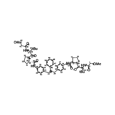 COCC(=O)N[C@H](C(=O)N1CCC[C@H]1C(=O)Nc1ccc(CN(Cc2ccc(NC(=O)[C@@H]3CCCN3C(=O)[C@@H](NC(=O)COC)C(C)(C)C)cc2)c2ccccc2)cc1)C(C)(C)C